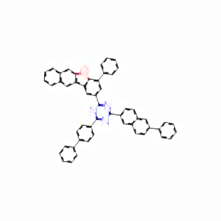 c1ccc(-c2ccc(-c3nc(-c4ccc5cc(-c6ccccc6)ccc5c4)nc(-c4cc(-c5ccccc5)c5oc6cc7ccccc7cc6c5c4)n3)cc2)cc1